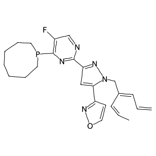 C=C/C=C(\C=C/C)Cn1nc(-c2ncc(F)c(P3CCCCCCC3)n2)cc1-c1ccon1